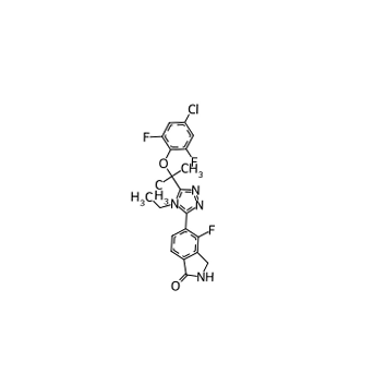 CCn1c(-c2ccc3c(c2F)CNC3=O)nnc1C(C)(C)Oc1c(F)cc(Cl)cc1F